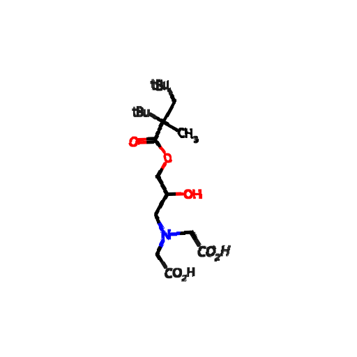 CC(C)(C)CC(C)(C(=O)OCC(O)CN(CC(=O)O)CC(=O)O)C(C)(C)C